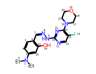 CCN(CC)c1ccc(/C=N\Nc2ncc(F)c(N3CCOCC3)n2)c(O)c1